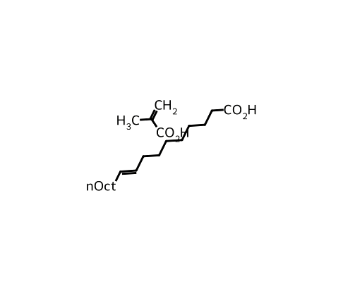 C=C(C)C(=O)O.CCCCCCCCC=CCCCCCCCC(=O)O